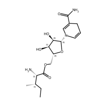 CC[C@H](C)[C@H](N)C(=O)OC[C@H]1O[C@@H](N2C=CCC(C(N)=O)=C2)[C@H](O)[C@@H]1O